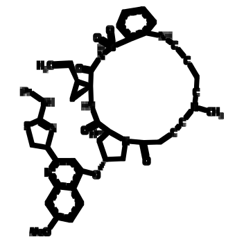 C=C[C@@H]1C[C@@]12NC(=O)[C@@H]1C[C@@H](Oc3cc(C4CSC(NC(C)C)=N4)nc4cc(OC)ccc34)CN1C(=O)CCCN(C)CCCCNc1ccccc1S(=O)(=O)NC2=O